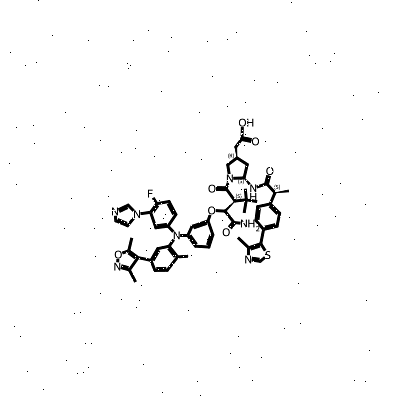 Cc1ccc(-c2c(C)noc2C)cc1N(c1cccc(OC(C(N)=O)[C@@H](C(=O)N2C[C@@H](CC(=O)O)C[C@H]2NC(=O)[C@@H](C)c2ccc(-c3scnc3C)cc2)C(C)(C)C)c1)c1ccc(F)c(-n2ccnc2)c1